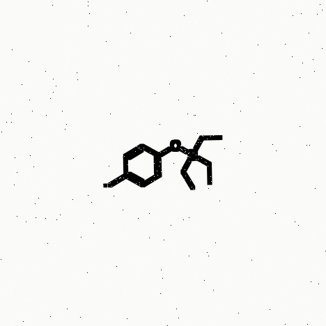 [CH2]c1ccc(O[Si](CC)(CC)CC)cc1